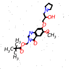 COc1cc2c(=O)n(COC(=O)C(C)(C)C)cnc2cc1OCC(O)CN1CCCC1